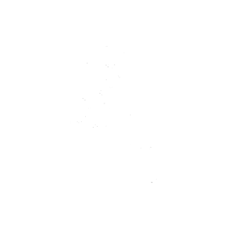 CCOCc1nc2c(N)nc3cc(OCc4ccc(C(F)(F)F)o4)ccc3c2n1CC(C)(C)NS(C)(=O)=O